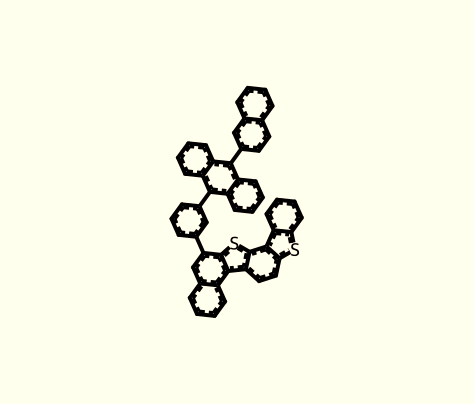 c1cc(-c2c3ccccc3c(-c3ccc4ccccc4c3)c3ccccc23)cc(-c2cc3ccccc3c3c2sc2c3ccc3sc4ccccc4c32)c1